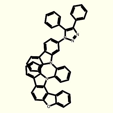 c1ccc(-c2nnn(-c3ccc4c5ccccc5n(-c5ccccc5-n5c6ccccc6c6ccc7oc8ccccc8c7c65)c4c3)c2-c2ccccc2)cc1